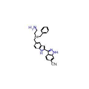 N#Cc1ccc2c(-c3cc4cc(C[As](CCN)Cc5ccccc5)ccc4[nH]3)n[nH]c2c1